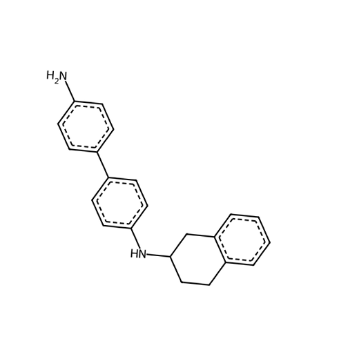 Nc1ccc(-c2ccc(NC3CCc4ccccc4C3)cc2)cc1